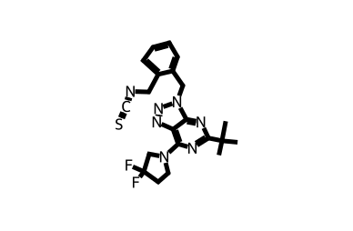 CC(C)(C)c1nc(N2CCC(F)(F)C2)c2nnn(Cc3ccccc3CN=C=S)c2n1